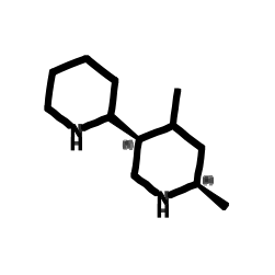 CC1C[C@@H](C)NC[C@H]1C1CCCCN1